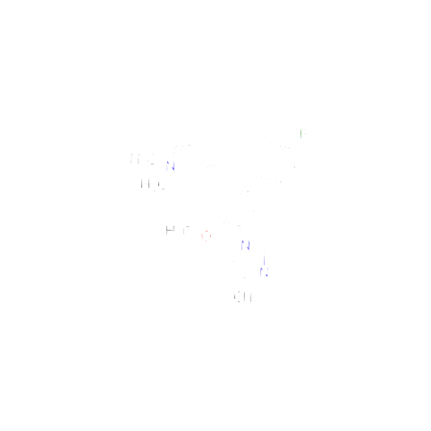 COc1cc(/C=C2/CC[N+](C)(C)C2)c(-c2ccc(F)cc2)cc1-n1cnc(C)c1